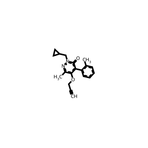 C#CCOc1c(C)nn(CC2CC2)c(=O)c1-c1ccccc1C